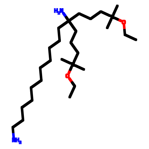 CCO[Si](C)(C)CCCC(N)(CCCCCCCCCCCN)CCC[Si](C)(C)OCC